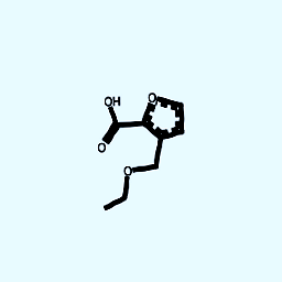 CCOCc1ccoc1C(=O)O